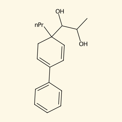 CCCC1(C(O)C(C)O)C=CC(c2ccccc2)=CC1